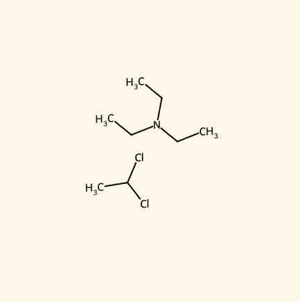 CC(Cl)Cl.CCN(CC)CC